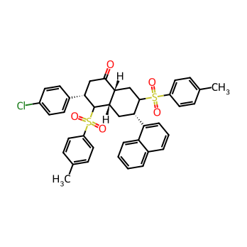 Cc1ccc(S(=O)(=O)C2C[C@H]3C(=O)C[C@@H](c4ccc(Cl)cc4)C(S(=O)(=O)c4ccc(C)cc4)[C@H]3C[C@H]2c2cccc3ccccc23)cc1